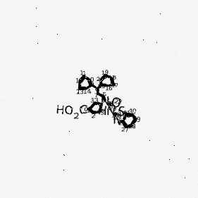 O=C(O)[C@H]1CC[C@@H](N(CCC(c2ccccc2)c2ccccc2)C(=O)Nc2nc3ccccc3s2)C1